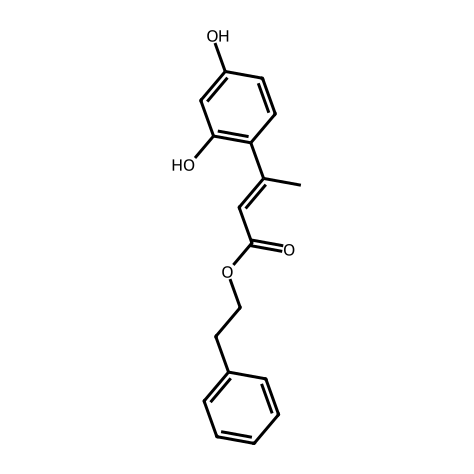 C/C(=C\C(=O)OCCc1ccccc1)c1ccc(O)cc1O